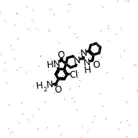 NC(=O)c1cc(Cl)c2c(c1)NC(=O)C21CCN(c2nc3c(c(=O)[nH]2)CCCC3)CC1